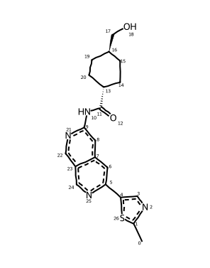 Cc1ncc(-c2cc3cc(NC(=O)[C@H]4CC[C@H](CO)CC4)ncc3cn2)s1